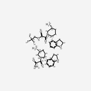 C[C@H]1CC[C@H](c2cccc3c2CCO3)N(C(=O)C(=O)OCC(F)(F)F)C1.C[C@H]1CC[C@H](c2cccc3c2CCO3)N(C(=O)C(N)=O)C1